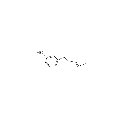 CC(C)=CCCc1cccc(O)c1